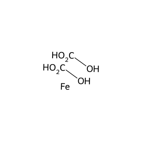 O=C(O)O.O=C(O)O.[Fe]